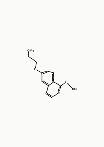 COCCOc1ccc2c(OC(C)(C)C)nccc2c1